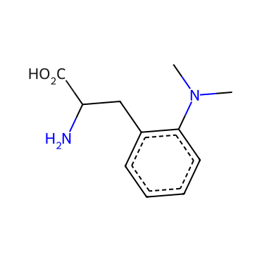 CN(C)c1ccccc1CC(N)C(=O)O